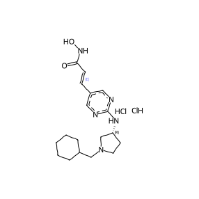 Cl.Cl.O=C(/C=C/c1cnc(N[C@@H]2CCN(CC3CCCCC3)C2)nc1)NO